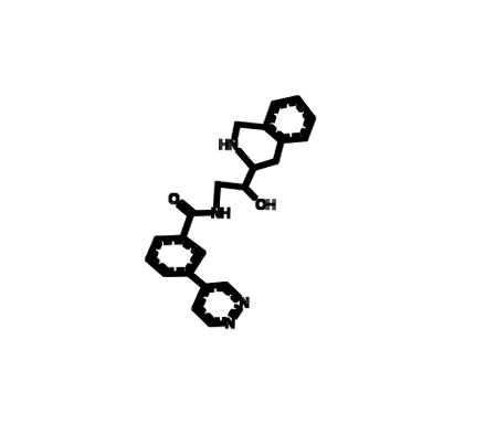 O=C(NCC(O)C1Cc2ccccc2CN1)c1cccc(-c2ccnnc2)c1